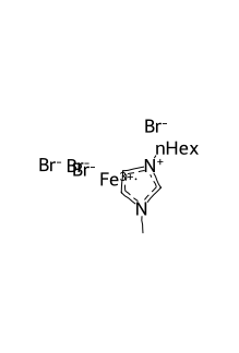 CCCCCC[n+]1ccn(C)c1.[Br-].[Br-].[Br-].[Br-].[Fe+3]